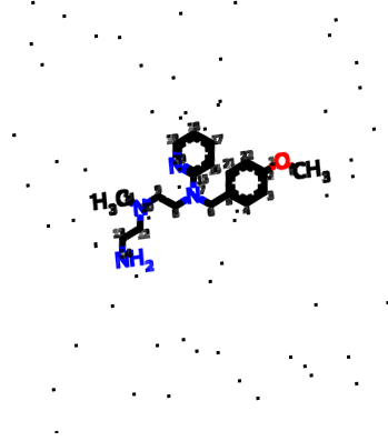 COc1ccc(CN(CCN(C)CCN)c2ccccn2)cc1